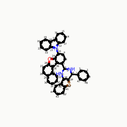 c1ccc(C2NC(c3ccc(-n4c5ccccc5c5ccccc54)c4oc5ccc6ccccc6c5c34)Nc3c2sc2ccccc32)cc1